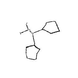 [I][Pt]([I])[N](C1CCCC1)C1CCCC1